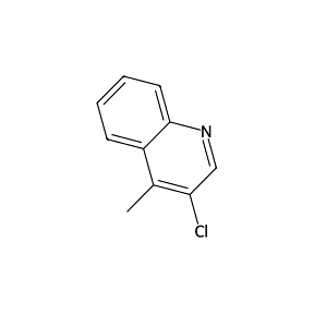 Cc1c(Cl)cnc2ccccc12